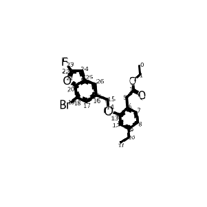 CCOC(=O)Cc1ccc(CC)cc1OCc1cc(Br)c2oc(F)cc2c1